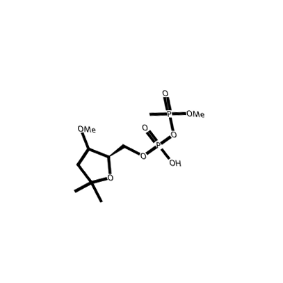 COC1CC(C)(C)O[C@@H]1COP(=O)(O)OP(C)(=O)OC